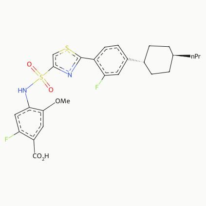 CCC[C@H]1CC[C@H](c2ccc(-c3nc(S(=O)(=O)Nc4cc(F)c(C(=O)O)cc4OC)cs3)c(F)c2)CC1